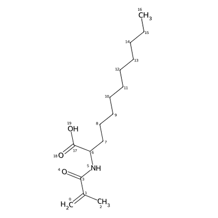 C=C(C)C(=O)NC(CCCCCCCCCC)C(=O)O